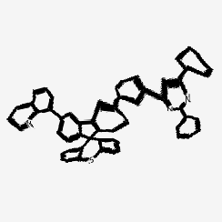 c1ccc(-c2cc(-c3cccc(-c4ccc5c(c4)-c4cc(-c6cccc7cccnc67)ccc4C54c5ccccc5Sc5ccccc54)c3)nc(-c3ccccc3)n2)cc1